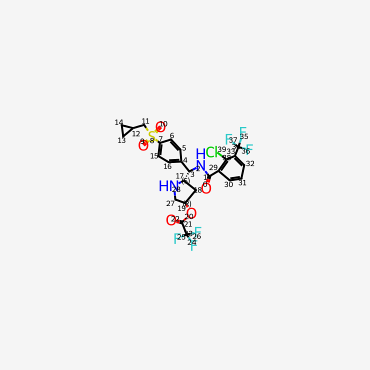 O=C(NC(c1ccc(S(=O)(=O)CC2CC2)cc1)[C@@H]1C[C@@H](OC(=O)C(F)(F)F)CN1)c1cccc(C(F)(F)F)c1Cl